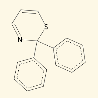 C1=CSC(c2ccccc2)(c2ccccc2)N=C1